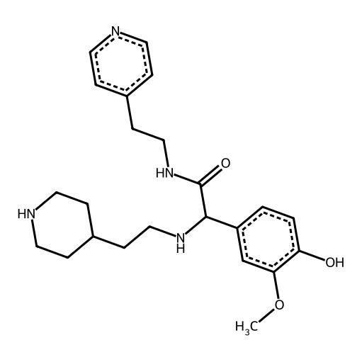 COc1cc(C(NCCC2CCNCC2)C(=O)NCCc2ccncc2)ccc1O